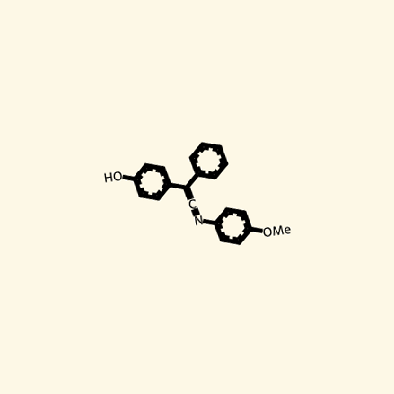 COc1ccc(N=C=C(c2ccccc2)c2ccc(O)cc2)cc1